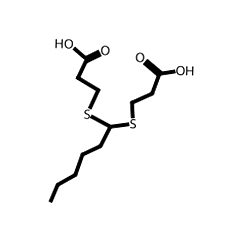 CCCCCC(SCCC(=O)O)SCCC(=O)O